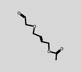 CC(=O)OC/C=C/COCC=O